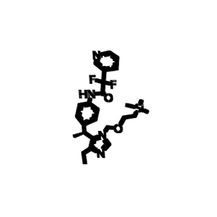 CCc1ncn(COCC[Si](C)(C)C)c1[C@@H](C)c1ccc(NC(=O)C(F)(F)c2cccnc2)cc1